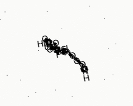 Cl.O=C1CCC(N2C(=O)c3cc(F)c(N4CCN(CCOCCOCCOC5CCNCC5)CC4)cc3C2=O)C(=O)N1